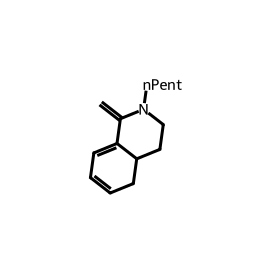 C=C1C2=CC=CCC2CCN1CCCCC